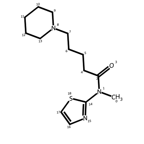 CN(C(=O)CCCCN1CCCCC1)c1nccs1